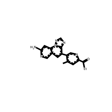 CCC(=O)c1cc(C)c(-c2cc3cnc(N)cc3n3ncnc23)cn1